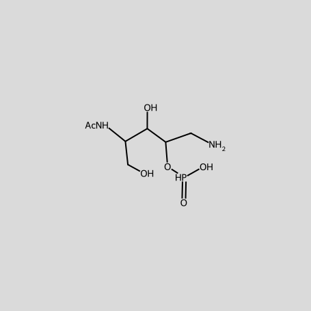 CC(=O)NC(CO)C(O)C(CN)O[PH](=O)O